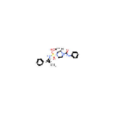 C[C@H]1[C@H](NS(=O)(=O)N2CCN(C(=O)Nc3ccccc3)CC2)[C@H]1c1ccccc1.O=C(O)O